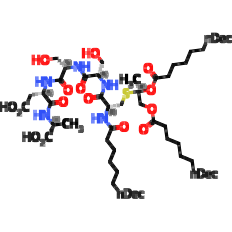 CCCCCCCCCCCCCCCC(=O)N[C@@H](CS[C@](C)(COC(=O)CCCCCCCCCCCCCCC)OC(=O)CCCCCCCCCCCCCCC)C(=O)N[C@@H](CO)C(=O)N[C@@H](CO)C(=O)N[C@@H](CC(=O)O)C(=O)N[C@@H](C)C(=O)O